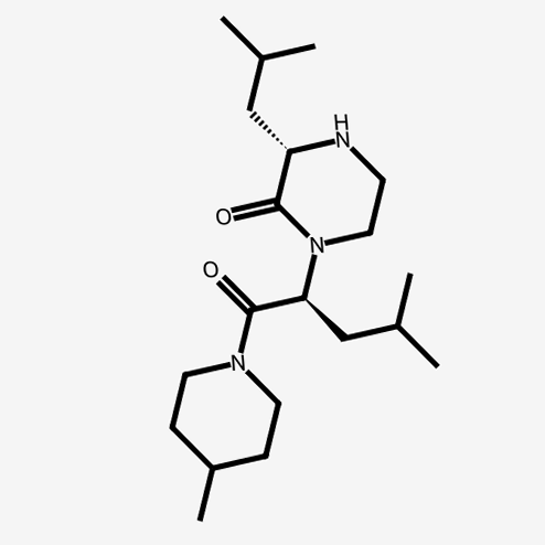 CC(C)C[C@@H]1NCCN([C@@H](CC(C)C)C(=O)N2CCC(C)CC2)C1=O